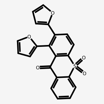 O=C1c2ccccc2S(=O)(=O)c2ccc(-c3ccco3)c(-c3ccco3)c21